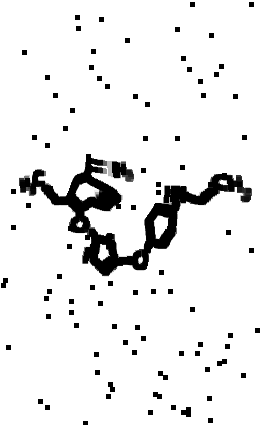 CCNc1ccc(Oc2cnc(Oc3ccc(C)cc3CC)s2)cc1